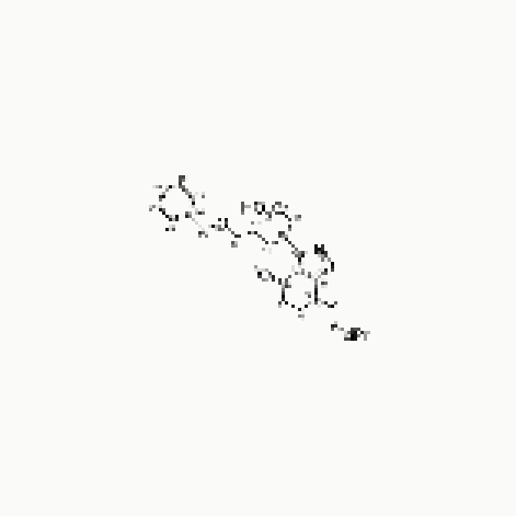 CC(C)CC[C@H]1CCC(=O)c2c(C(CCCOCc3ccccc3)CC(=O)O)noc21